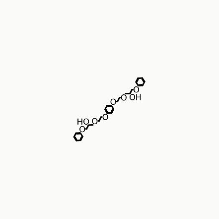 OC(COCCOc1ccc(OCCOCC(O)COc2ccccc2)cc1)COc1ccccc1